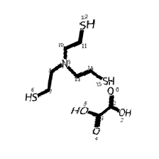 O=C(O)C(=O)O.SCCN(CCS)CCS